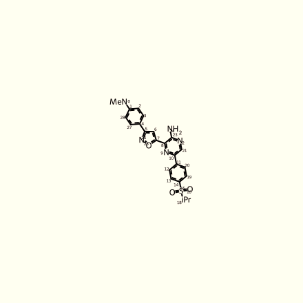 CNc1ccc(-c2cc(-c3nc(-c4ccc(S(=O)(=O)C(C)C)cc4)cnc3N)on2)cc1